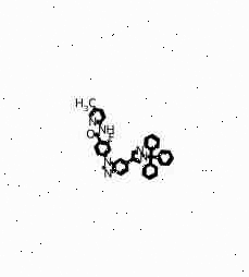 Cc1ccc(NC(=O)c2ccc(-n3cnc4ccc(-c5cnn(C(c6ccccc6)(c6ccccc6)C6C=CC=CC6)c5)cc43)cc2F)nc1